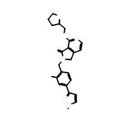 Cn1ccc(-c2ccc(CN3Cc4ccnc(OCC5CCCO5)c4C3=O)c(F)c2)n1